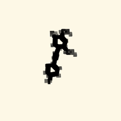 Cc1cc(C)c(C#Cc2ccc(F)cc2)cc1F